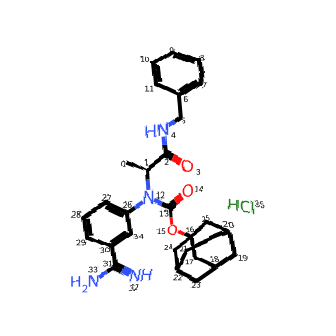 C[C@@H](C(=O)NCc1ccccc1)N(C(=O)OC12CC3CC(CC(C3)C1)C2)c1cccc(C(=N)N)c1.Cl